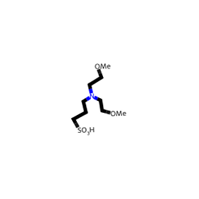 COCCN(CCCS(=O)(=O)O)CCOC